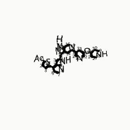 CC(=O)c1ccc(-c2ccnc3[nH]c(-c4n[nH]c5cnc(-c6cncc(OC7CCNCC7)c6)cc45)cc23)s1